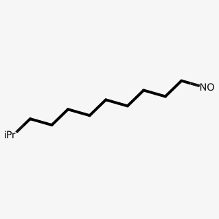 CC(C)CCCCCCCCCN=O